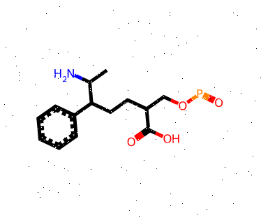 CC(N)C(CCC(COP=O)C(=O)O)c1ccccc1